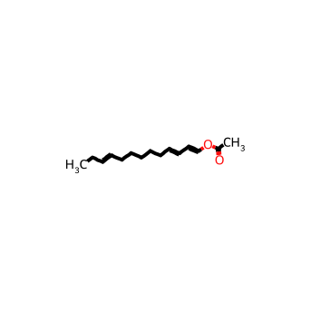 CCC=CCCCCCC=CC=COC(C)=O